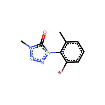 Cc1cccc(Br)c1-n1nnn(C)c1=O